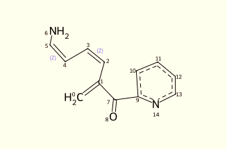 C=C(/C=C\C=C/N)C(=O)c1ccccn1